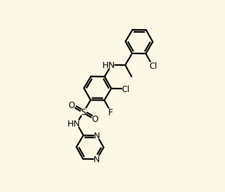 CC(Nc1ccc(S(=O)(=O)Nc2ccncn2)c(F)c1Cl)c1ccccc1Cl